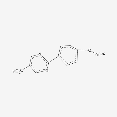 CCCCCCOc1ccc(-c2ncc(C(=O)O)cn2)cc1